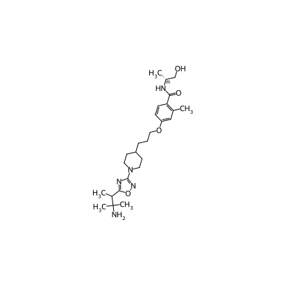 Cc1cc(OCCCC2CCN(c3noc(C(C)C(C)(C)N)n3)CC2)ccc1C(=O)N[C@H](C)CO